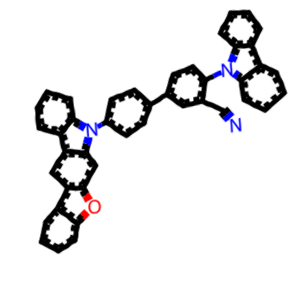 N#Cc1cc(-c2ccc(-n3c4ccccc4c4cc5c(cc43)oc3ccccc35)cc2)ccc1-n1c2ccccc2c2ccccc21